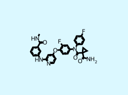 CNC(=O)c1cccc(Nc2cc(Oc3ccc(N(C(=O)C4(C(N)=O)CC4)c4ccc(F)cc4)cc3F)ccn2)c1